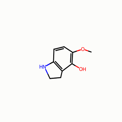 COc1ccc2c(c1O)CCN2